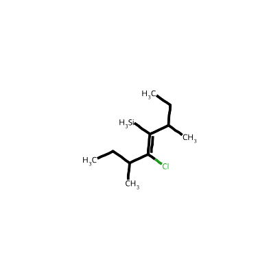 CCC(C)C([SiH3])=C(Cl)C(C)CC